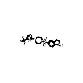 O=S(=O)(c1ccc2c(c1)CCN2)N1CCN(c2nc(C(F)(F)F)cs2)CC1